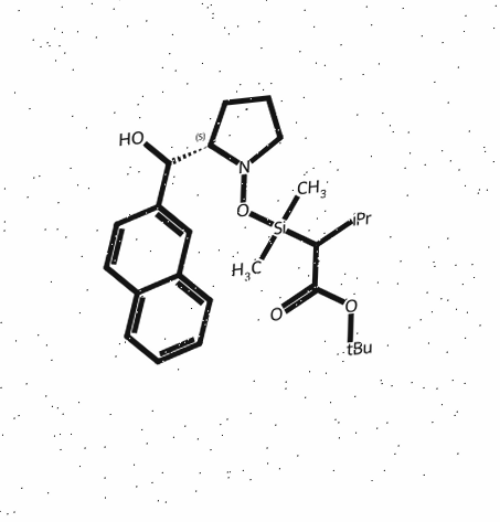 CC(C)C(C(=O)OC(C)(C)C)[Si](C)(C)ON1CCC[C@H]1C(O)c1ccc2ccccc2c1